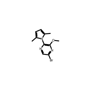 COc1nc(Br)cnc1-n1c(C)ccc1C